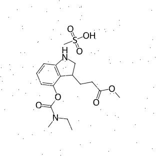 CCN(C)C(=O)Oc1cccc2c1C(CCC(=O)OC)CN2.CS(=O)(=O)O